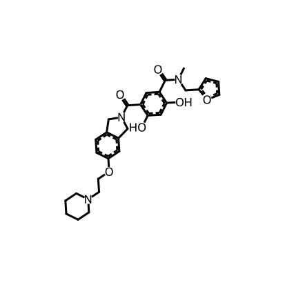 CN(Cc1ccco1)C(=O)c1cc(C(=O)N2Cc3ccc(OCCN4CCCCC4)cc3C2)c(O)cc1O